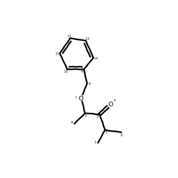 CC(C)C(=O)C(C)OCc1ccccc1